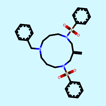 C=C1CN(S(=O)(=O)c2ccccc2)CCCN(Cc2ccccc2)CCCN(S(=O)(=O)c2ccccc2)C1